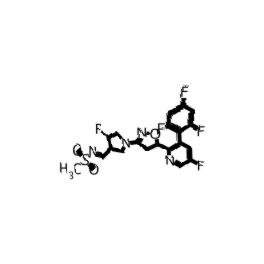 CS(=O)(=O)N=CC1CN(C2=NOC(c3ncc(F)cc3-c3c(F)cc(F)cc3F)C2)C[C@@H]1F